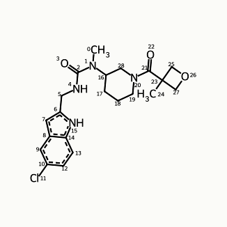 CN(C(=O)NCc1cc2cc(Cl)ccc2[nH]1)C1CCCN(C(=O)C2(C)COC2)C1